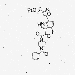 CCOC(=O)c1cc(-c2ccc(F)c3c(C(=O)C(=O)N4CCN(C(=O)c5ccccc5)CC4)c[nH]c23)on1